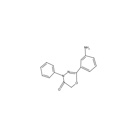 Nc1cccc(C2=NN(c3ccccc3)C(=O)CO2)c1